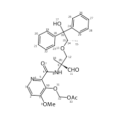 COc1ccnc(C(=O)N[C@@](C)(C=O)CO[C@@H](C)C(O)(c2ccccc2)c2ccccc2)c1OCOC(C)=O